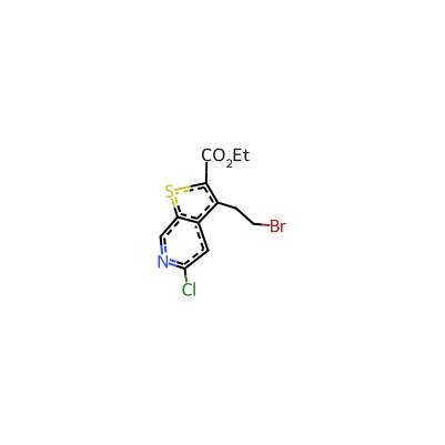 CCOC(=O)c1sc2cnc(Cl)cc2c1CCBr